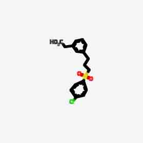 O=C(O)Cc1cccc(CCCS(=O)(=O)c2ccc(Cl)cc2)c1